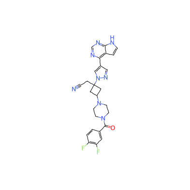 N#CCC1(n2cc(-c3ncnc4[nH]ccc34)cn2)CC(N2CCN(C(=O)c3ccc(F)c(F)c3)CC2)C1